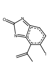 C=C(C)c1c(I)ccc2c1=NC(=O)N=2